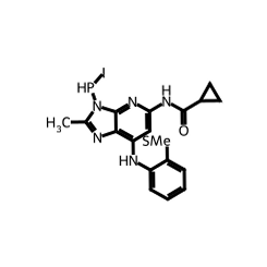 CSc1ccccc1Nc1cc(NC(=O)C2CC2)nc2c1nc(C)n2PI